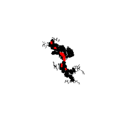 Cc1ccc(C2(c3ccc(Cc4ccc5c(c4)nc(-c4ccccc4)n5-c4cccc5c(-c6cccc7c6-c6ccccc6C7(c6ccc(C)cc6)c6ccc(C)cc6)c6cccc(-n7c(-c8ccccc8)nc8ccccc87)c6cc45)cc3)c3ccccc3-c3c(-c4c5cccc(-c6ccc7nc(C)n(C)c7c6)c5cc5c(-c6ccc7nc(C)n(C)c7c6)cccc45)cccc32)cc1